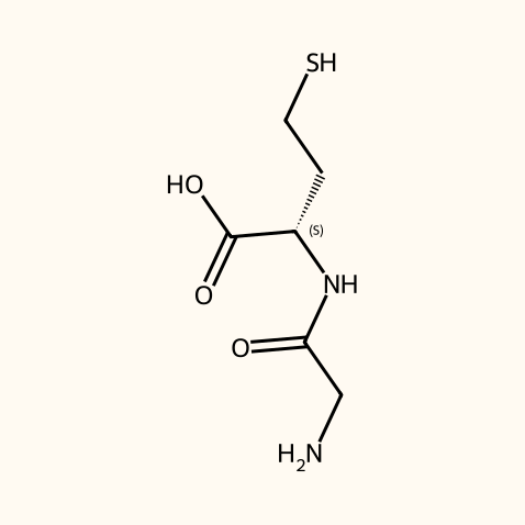 NCC(=O)N[C@@H](CCS)C(=O)O